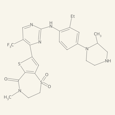 CCc1cc(N2CCNCC2C)ccc1Nc1ncc(C(F)(F)F)c(-c2cc3c(s2)C(=O)N(C)CCS3(=O)=O)n1